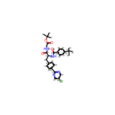 CC(C)(C)OC(=O)CNC(=O)C(Cc1ccc(-c2ncc(Br)cn2)cc1)NC(=O)c1ccc(C(C)(C)C)cc1